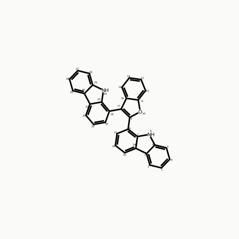 c1ccc2c(c1)[nH]c1c(-c3oc4ccccc4c3-c3cccc4c3[nH]c3ccccc34)cccc12